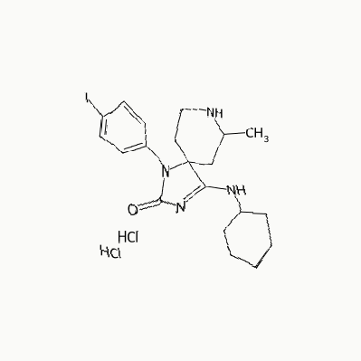 CC1CC2(CCN1)C(NC1CCCCC1)=NC(=O)N2c1ccc(I)cc1.Cl.Cl